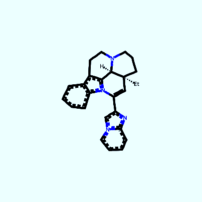 CC[C@@]12C=C(c3cn4ccccc4n3)n3c4c(c5ccccc53)CCN(CCC1)[C@H]42